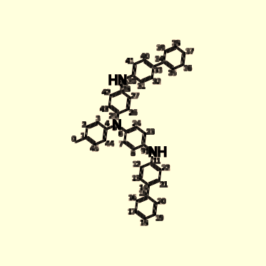 Cc1ccc(N(c2ccc(Nc3ccc(-c4ccccc4)cc3)cc2)c2ccc(Nc3ccc(-c4ccccc4)cc3)cc2)cc1